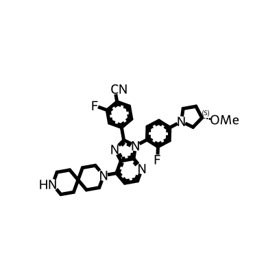 CO[C@H]1CCN(c2ccc(-n3c(-c4ccc(C#N)c(F)c4)nc4c(N5CCC6(CCNCC6)CC5)ccnc43)c(F)c2)C1